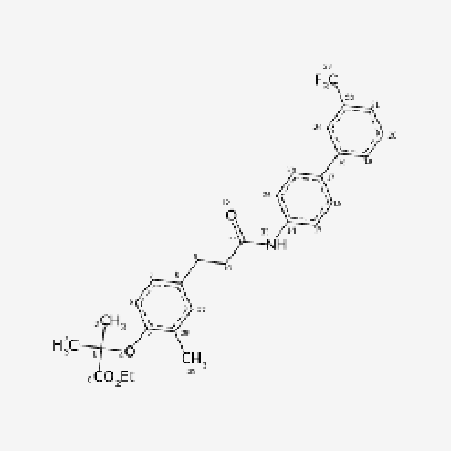 CCOC(=O)C(C)(C)Oc1ccc(CCC(=O)Nc2ccc(-c3cccc(C(F)(F)F)c3)cc2)cc1C